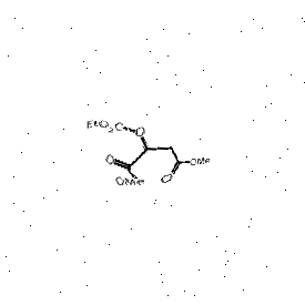 CCOC(=O)OC(CC(=O)OC)C(=O)OC